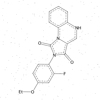 CCOc1ccc(-n2c(=O)c3c[nH]c4ccccc4n-3c2=O)c(F)c1